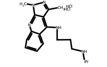 Cc1nn(C)c2nc3ccccc3c(NCCCNC(C)C)c12.Cl.Cl